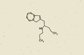 CCCNC(CCC)CC1=Cc2ccccc2C1